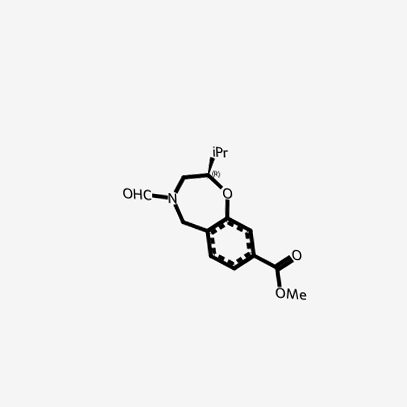 COC(=O)c1ccc2c(c1)O[C@H](C(C)C)CN(C=O)C2